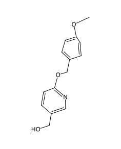 COc1ccc(COc2ccc(CO)cn2)cc1